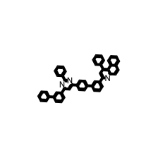 c1ccc(-c2cccc(-c3cc(-c4ccc(-c5cccc(-c6cc(-c7ccccc7)c7c(ccc8ccccc87)n6)c5)cc4)nc(-c4ccccc4)n3)c2)cc1